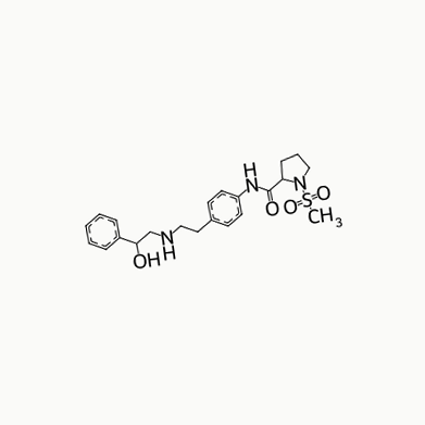 CS(=O)(=O)N1CCCC1C(=O)Nc1ccc(CCNCC(O)c2ccccc2)cc1